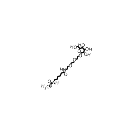 COC(=O)NCCCCCC(=O)NCCOCCOCCO[C@H]1OC(CO)[C@@H](O)[C@H](O)C1O